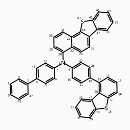 c1ccc(-c2ccc(N(c3ccc(-c4cccc5sc6ccccc6c45)cc3)c3cccc4c3ccc3c5ccccc5sc43)cc2)cc1